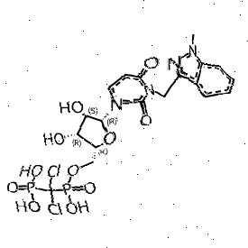 Cn1nc(Cn2c(=O)ccn([C@@H]3O[C@H](COP(=O)(O)C(Cl)(Cl)P(=O)(O)O)[C@H](O)[C@@H]3O)c2=O)c2ccccc21